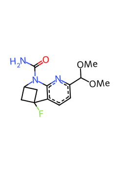 COC(OC)c1ccc2c(n1)N(C(N)=O)C1CC2(F)C1